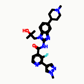 CN1CCC(c2ccc3c(c2)nc(NC(=O)c2ccnc(-c4cnn(C)c4)c2F)n3CC(C)(C)O)CC1